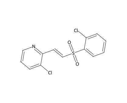 O=S(=O)(C=Cc1ncccc1Cl)c1ccccc1Cl